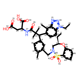 CC[C@@H]1CN(Cc2cc(C(c3ccc4c(nnn4CC)c3C)C(C)(C)C(=O)NC(CC(=O)O)C(=O)O)ccc2C)S(=O)(=O)c2ccccc2O1